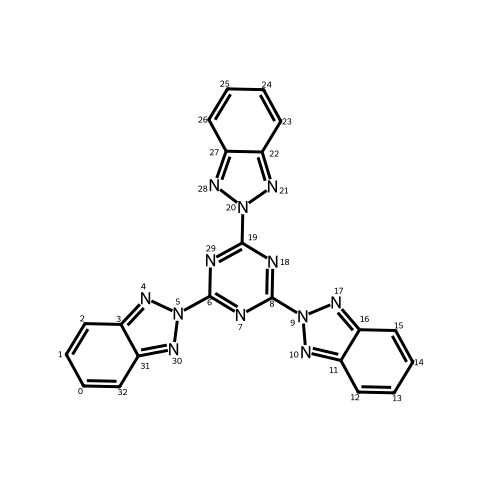 c1ccc2nn(-c3nc(-n4nc5ccccc5n4)nc(-n4nc5ccccc5n4)n3)nc2c1